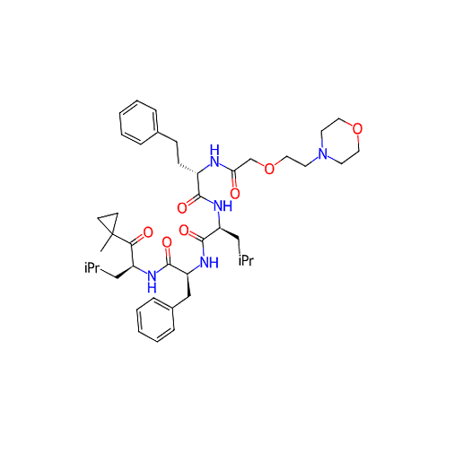 CC(C)C[C@H](NC(=O)[C@H](CCc1ccccc1)NC(=O)COCCN1CCOCC1)C(=O)N[C@@H](Cc1ccccc1)C(=O)N[C@@H](CC(C)C)C(=O)C1(C)CC1